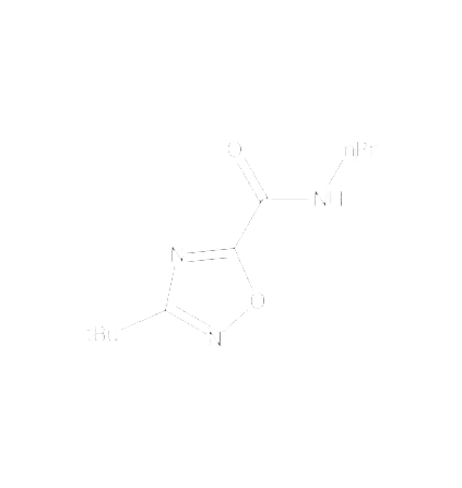 CCCNC(=O)c1nc(C(C)(C)C)no1